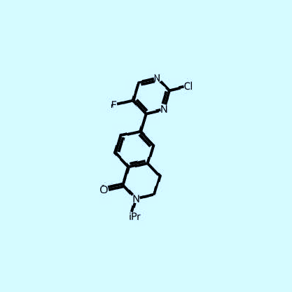 CC(C)N1CCc2cc(-c3nc(Cl)ncc3F)ccc2C1=O